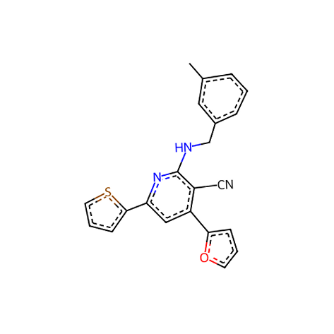 Cc1cccc(CNc2nc(-c3cccs3)cc(-c3ccco3)c2C#N)c1